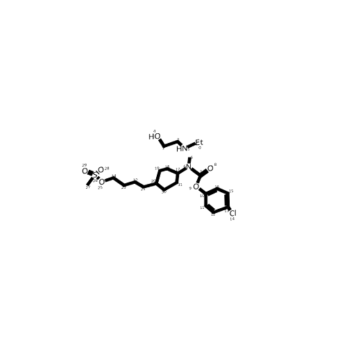 CCNCCO.CN(C(=O)Oc1ccc(Cl)cc1)C1CCC(CCCCOS(C)(=O)=O)CC1